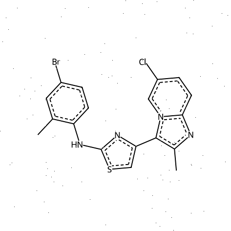 Cc1cc(Br)ccc1Nc1nc(-c2c(C)nc3ccc(Cl)cn23)cs1